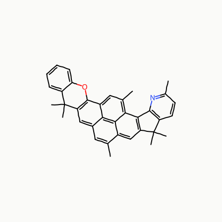 Cc1ccc2c(n1)-c1c(cc3c(C)cc4cc5c(c6cc(C)c1c3c46)Oc1ccccc1C5(C)C)C2(C)C